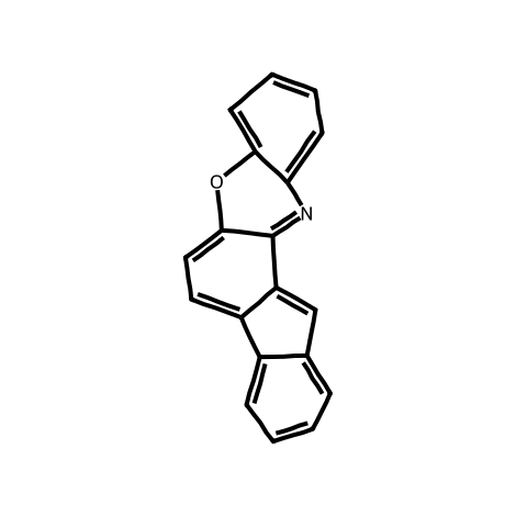 c1ccc2c(c1)cc1c2ccc2oc3ccccc3nc21